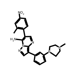 Cc1cc([N+](=O)[O-])ccc1-c1cnc2c(-c3cccc(N4CCN(C)CC4)c3)cnn2c1N